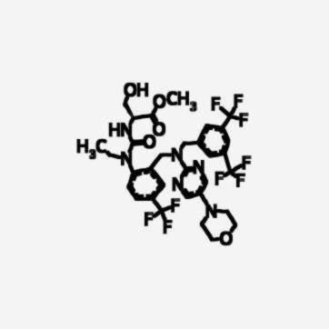 CCN(C(=O)N[C@@H](CO)C(=O)OC)c1ccc(C(F)(F)F)cc1CN(Cc1cc(C(F)(F)F)cc(C(F)(F)F)c1)c1ncc(N2CCOCC2)cn1